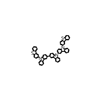 c1ccc2c(c1)sc1ccc(-n3c4ccccc4c4cc(-c5ccc6c(c5)c5ccccc5n6-c5ccc6c(c5)c5ccccc5n6-c5ccc6sc7ccccc7c6c5)ccc43)cc12